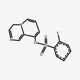 O=S(=O)(OC1=CC=CN2CC=NC=C12)c1ccccc1F